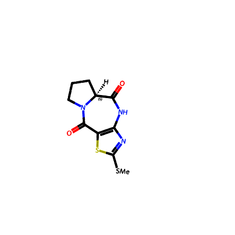 CSc1nc2c(s1)C(=O)N1CCC[C@H]1C(=O)N2